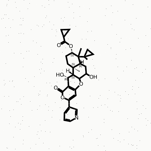 CC1(C2(C)[C@@H](OC(=O)C3CC3)CC[C@]3(C)[C@@H]4C(Oc5cc(-c6cccnc6)oc(=O)c5[C@@H]4O)C(O)C[C@@H]23)CC1